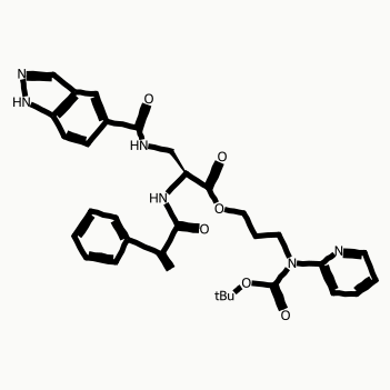 C=C(C(=O)N[C@@H](CNC(=O)c1ccc2[nH]ncc2c1)C(=O)OCCCN(C(=O)OC(C)(C)C)c1ccccn1)c1ccccc1